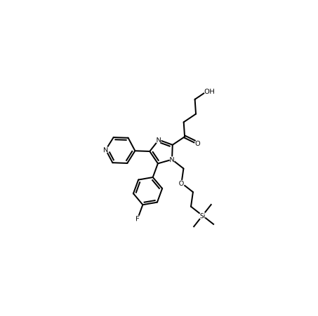 C[Si](C)(C)CCOCn1c(C(=O)CCCO)nc(-c2ccncc2)c1-c1ccc(F)cc1